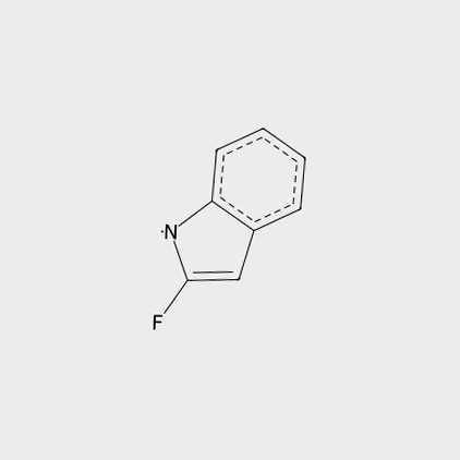 FC1=Cc2ccccc2[N]1